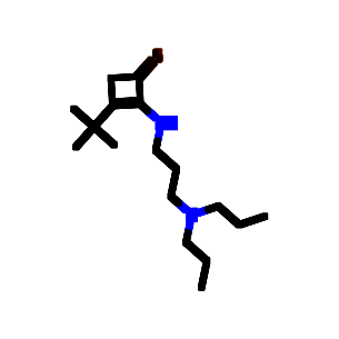 CCCN(CCC)CCCNC1=C(C(C)(C)C)CC1=S